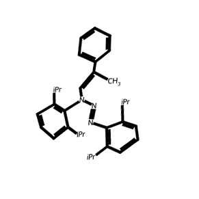 C/C(=C\N(/N=N/c1c(C(C)C)cccc1C(C)C)c1c(C(C)C)cccc1C(C)C)c1ccccc1